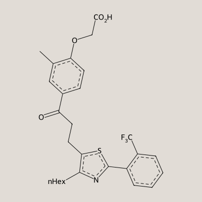 CCCCCCc1nc(-c2ccccc2C(F)(F)F)sc1CCC(=O)c1ccc(OCC(=O)O)c(C)c1